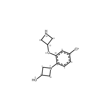 OC1CN(c2ccc(Cl)cc2OC2CNC2)C1